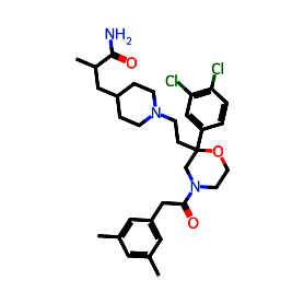 Cc1cc(C)cc(CC(=O)N2CCOC(CCN3CCC(CC(C)C(N)=O)CC3)(c3ccc(Cl)c(Cl)c3)C2)c1